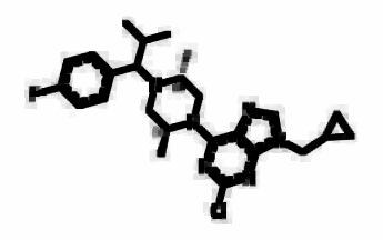 CC(C)C(c1ccc(F)cc1)N1C[C@H](C)N(c2nc(Cl)nc3c2ncn3CC2CC2)C[C@H]1C